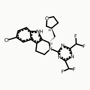 FC(F)c1nc(C(F)F)nc(N2CCc3c([nH]c4ccc(Cl)cc34)[C@@H]2C[C@@H]2CCOC2)n1